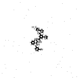 Cc1csc(C2CCCN2C(=O)c2cc(C(=O)N[C@@H](Cc3ccccc3)[C@H](O)CNCc3cncc(C(C)C)c3)cc(-c3ncco3)c2)n1